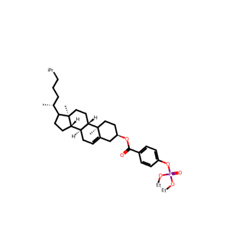 CCOP(=O)(OCC)Oc1ccc(C(=O)O[C@@H]2CC[C@@]3(C)C(=CC[C@@H]4[C@@H]3CC[C@]3(C)C([C@H](C)CCCC(C)C)CC[C@@H]43)C2)cc1